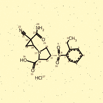 CCc1ccccc1S(=O)(=O)[C@@H]1C[C@@H](C(=O)O)N(C2CC2(C#N)C(N)=O)C1.Cl